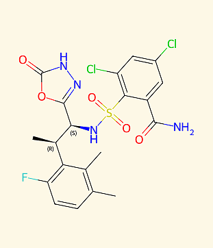 Cc1ccc(F)c([C@@H](C)[C@H](NS(=O)(=O)c2c(Cl)cc(Cl)cc2C(N)=O)c2n[nH]c(=O)o2)c1C